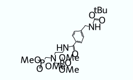 COP(=O)(CN(CCNC(=O)c1ccc(CNC(=O)OC(C)(C)C)cc1)CP(=O)(OC)OC)OC